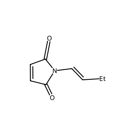 CCC=CN1C(=O)C=CC1=O